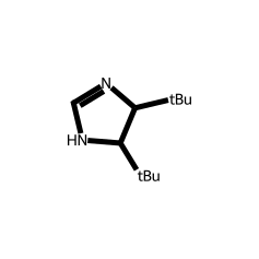 CC(C)(C)C1N=CNC1C(C)(C)C